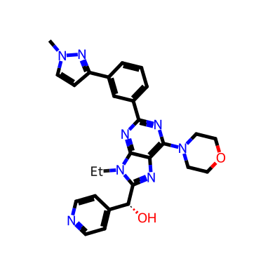 CCn1c([C@H](O)c2ccncc2)nc2c(N3CCOCC3)nc(-c3cccc(-c4ccn(C)n4)c3)nc21